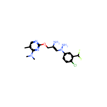 Cc1cnc(OC/C(N)=C/N(N)c2ccc(Cl)c(C(F)F)c2)nc1N(C)C